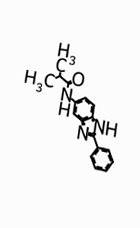 CC(C)C(=O)Nc1ccc2[nH]c(-c3ccccc3)nc2c1